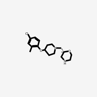 Cc1cc(Cl)ccc1OC1CCN(C[C@H]2CNCCO2)CC1